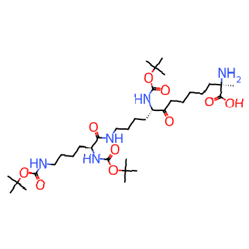 CC(C)(C)OC(=O)NCCCC[C@H](NC(=O)OC(C)(C)C)C(=O)NCCCC[C@H](NC(=O)OC(C)(C)C)C(=O)CCCCC[C@@](C)(N)C(=O)O